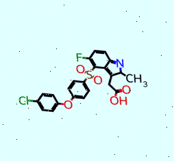 CC1N=c2ccc(F)c(S(=O)(=O)c3ccc(Oc4ccc(Cl)cc4)cc3)c2=C1CC(=O)O